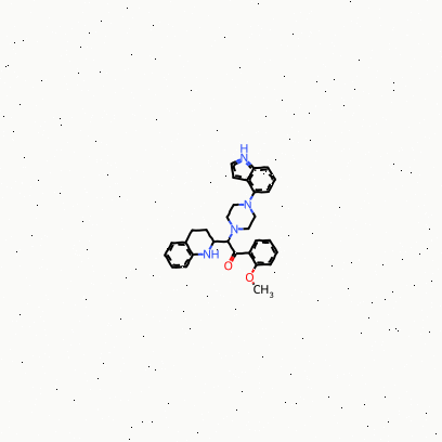 COc1ccccc1C(=O)C(C1CCc2ccccc2N1)N1CCN(c2cccc3[nH]ccc23)CC1